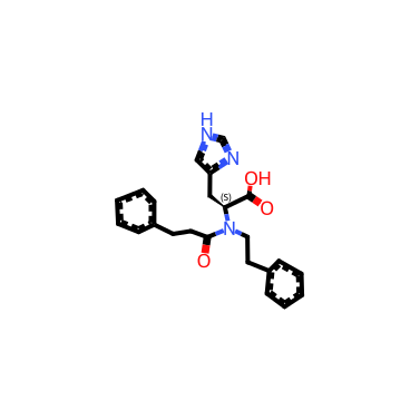 O=C(O)[C@H](Cc1c[nH]cn1)N(CCc1ccccc1)C(=O)CCc1ccccc1